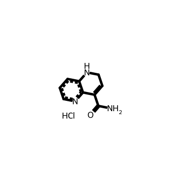 Cl.NC(=O)C1=CCNc2cccnc21